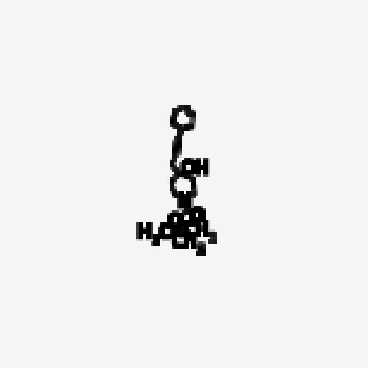 CC(C)(C)OC(=O)N1CCC(O)(CC#Cc2ccccc2)CC1